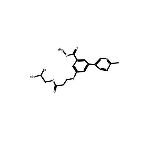 CCCCC(CC)COC(=O)CCSc1cc(C(=O)OC(C)(C)C)cc(-c2ccc(C)nc2)c1